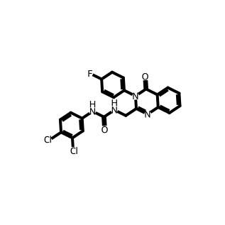 O=C(NCc1nc2ccccc2c(=O)n1C1=CCC(F)C=C1)Nc1ccc(Cl)c(Cl)c1